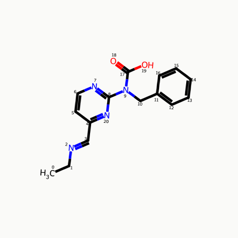 CC/N=C/c1ccnc(N(Cc2ccccc2)C(=O)O)n1